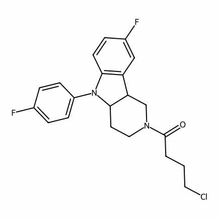 O=C(CCCCl)N1CCC2C(C1)c1cc(F)ccc1N2c1ccc(F)cc1